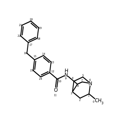 CC1CC2CCN1CC2NC(=O)c1ccc(Cc2ccccc2)cc1